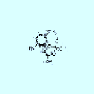 CC(=O)OC(C)(C)C.Cc1ccc(C)cc1